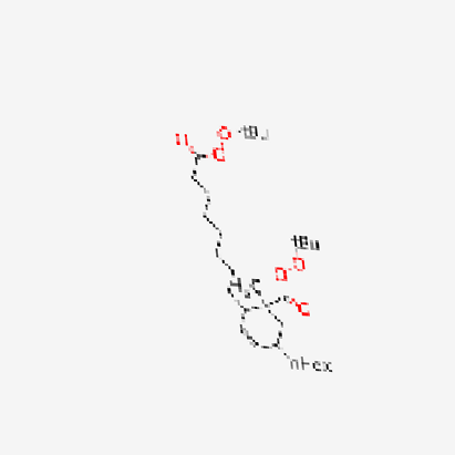 CCCCCCC1C=CC(CCCCCCCC(=O)OOC(C)(C)C)C(C)(C(=O)OOC(C)(C)C)C1